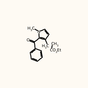 CCOC(C)=O.Cc1ccn(C)c1C(=O)c1ccccc1